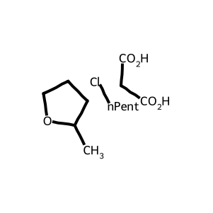 CC1CCCO1.CCCCCCl.O=C(O)CC(=O)O